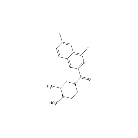 CC1CN(C(=O)c2nc(Cl)c3cc(I)ccc3n2)CCN1C(=O)O